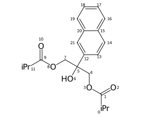 CC(C)C(=O)OCC(O)(COC(=O)C(C)C)c1ccc2ccccc2c1